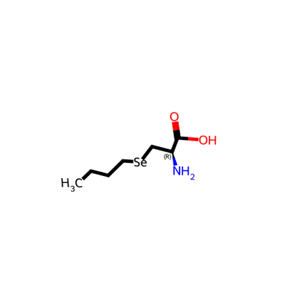 CCCC[Se]C[C@H](N)C(=O)O